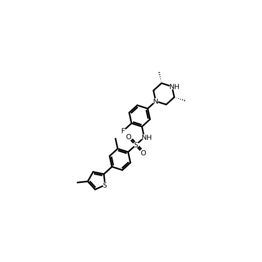 Cc1csc(-c2ccc(S(=O)(=O)Nc3cc(N4C[C@@H](C)N[C@@H](C)C4)ccc3F)c(C)c2)c1